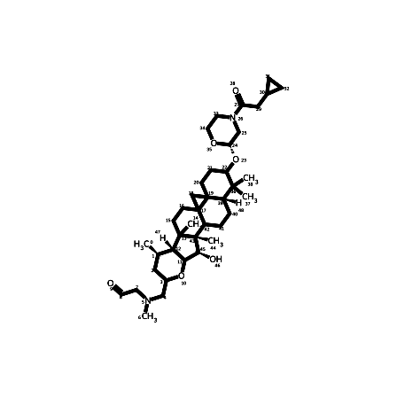 C[C@@H]1CC(CN(C)CC=O)OC2[C@H]1C1(C)CCC34CC35CCC(O[C@H]3CN(C(=O)CC6CC6)CCO3)C(C)(C)[C@@H]5CCC4[C@]1(C)[C@H]2O